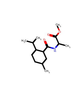 COC(=O)C(C)NC(=O)C1CC(C)CCC1C(C)C